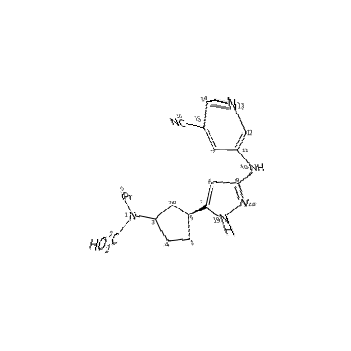 CC(C)N(C(=O)O)C1CC[C@H](c2cc(Nc3cncc(C#N)c3)n[nH]2)C1